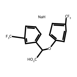 O=C(O)C(Oc1ccc(C(F)(F)F)cc1)c1cccc(C(F)(F)F)c1.[NaH]